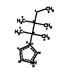 CCC(C)(C)C(C)(C)[n+]1cc[nH]c1